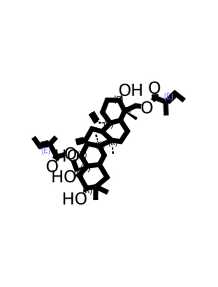 C=CCC1[C@@]2(C=C)CC[C@H](O)[C@](C)(COC(=O)/C(C)=C/C)C2CC[C@@]1(C)[C@@]1(C)CC2CC(C)(C)[C@@H](O)[C@H](O)[C@]2(COC(=O)/C(C)=C/C)[C@H](O)C1